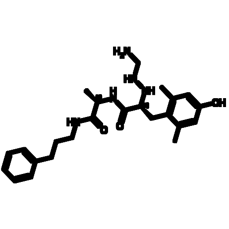 Cc1cc(O)cc(C)c1C[C@H](NNCN)C(=O)N[C@H](C)C(=O)NCCCc1ccccc1